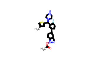 CC(=O)On1ncc2cc(-c3ccc(F)c(C(c4cc(C)cs4)N4CCNCC4)c3)ccc21